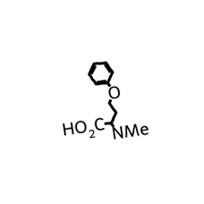 CNC(CCOc1ccccc1)C(=O)O